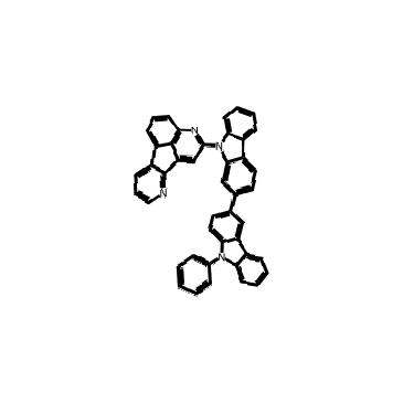 c1ccc(-n2c3ccccc3c3cc(-c4ccc5c6ccccc6n(-c6cc7c8c(cccc8n6)-c6cccnc6-7)c5c4)ccc32)cc1